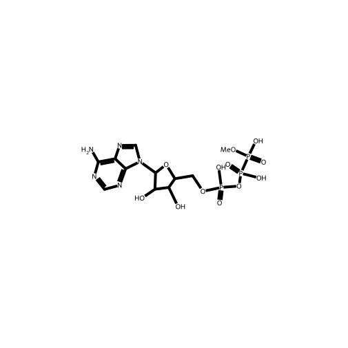 COP(=O)(O)P(=O)(O)OP(=O)(O)OCC1OC(n2cnc3c(N)ncnc32)C(O)C1O